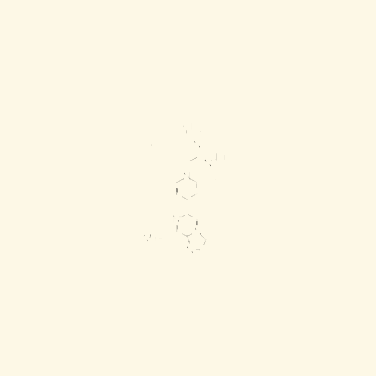 CCN(C(=O)N[C@@H](CCC(F)(F)F)C(F)(F)F)[C@H](C)c1cc(-c2cn3ccnc3c(OC)n2)c(C)cn1